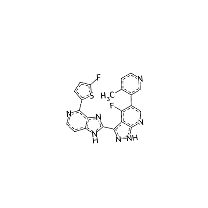 Cc1ccncc1-c1cnc2[nH]nc(-c3nc4c(-c5ccc(F)s5)nccc4[nH]3)c2c1F